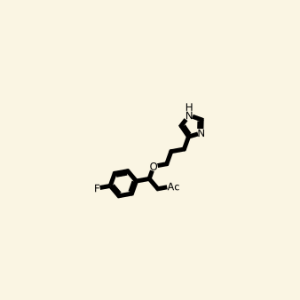 CC(=O)CC(OCCCc1c[nH]cn1)c1ccc(F)cc1